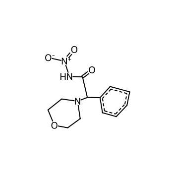 O=C(N[N+](=O)[O-])C(c1ccccc1)N1CCOCC1